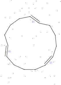 C1=C\CCC/C=C/CCC/C=C/CCC/1